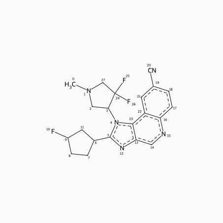 CN1CC(n2c(C3CCC(F)C3)nc3cnc4ccc(C#N)cc4c32)C(F)(F)C1